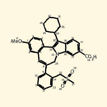 COc1ccc2c(c1)C=C(c1ccccc1CS(C)(=O)=O)Cn1c-2c(C2CCCCC2)c2ccc(C(=O)O)cc21